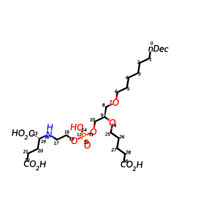 CCCCCCCCCCCCCCCCOC[C@H](COP(=O)(O)OCCN[C@H](CCC(=O)O)C(=O)O)OCCCCC(=O)O